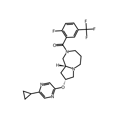 O=C(c1cc(C(F)(F)F)ccc1F)N1CCCN2C[C@H](Oc3cnc(C4CC4)cn3)C[C@@H]2C1